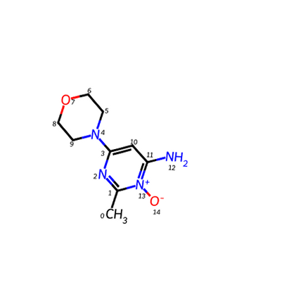 Cc1nc(N2CCOCC2)cc(N)[n+]1[O-]